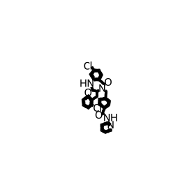 O=C(Nc1ccccn1)c1ccc(CN2C(=O)c3ccc(Cl)cc3NC(=O)C2Cc2ccccc2Cl)cc1